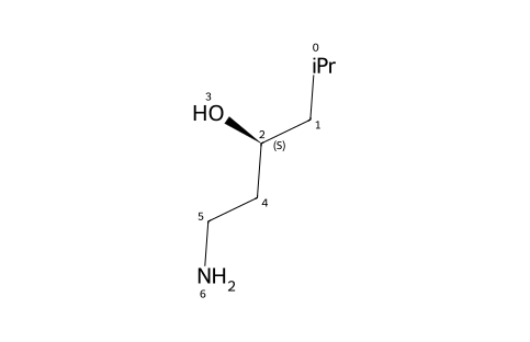 CC(C)C[C@H](O)CCN